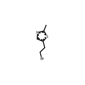 Cc1ncc(CCBr)s1